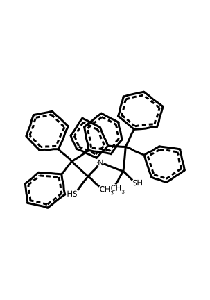 CC(S)([N]C(C)(S)C(c1ccccc1)(c1ccccc1)c1ccccc1)C(c1ccccc1)(c1ccccc1)c1ccccc1